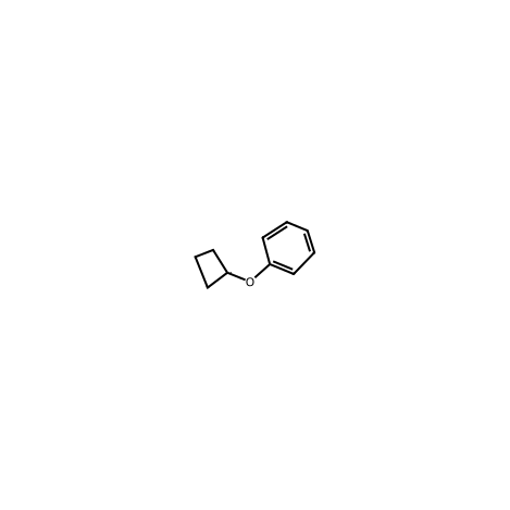 c1ccc(O[C]2CCC2)cc1